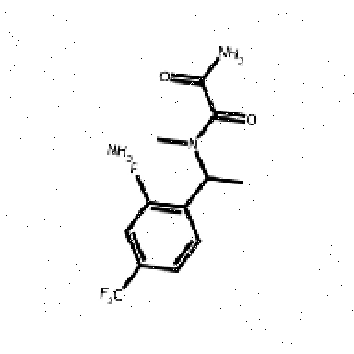 CC(c1ccc(C(F)(F)F)cc1F)N(C)C(=O)C(N)=O.N